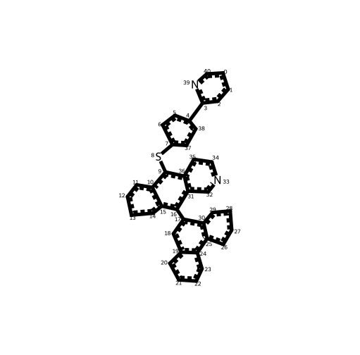 c1ccc(-c2ccc(Sc3c4ccccc4c(-c4cc5ccccc5c5ccccc45)c4cnccc34)cc2)nc1